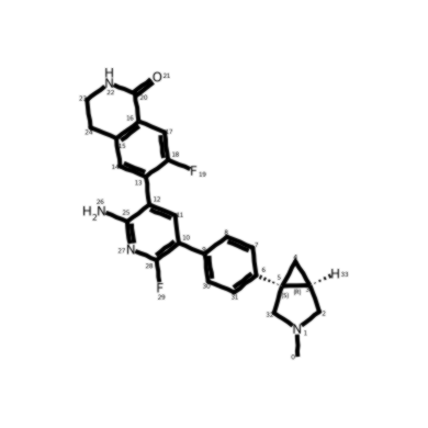 CN1C[C@@H]2C[C@]2(c2ccc(-c3cc(-c4cc5c(cc4F)C(=O)NCC5)c(N)nc3F)cc2)C1